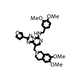 COc1ccc(CNc2ncc(CN3CCc4cc(OC)c(OC)cc4C3)c3nc(-c4ccoc4)nn23)cc1OC